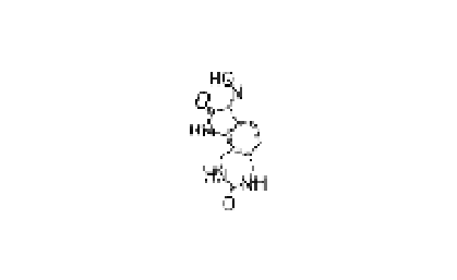 O=C1NCc2ccc3c(c2CN1)NC(=O)C3=NO